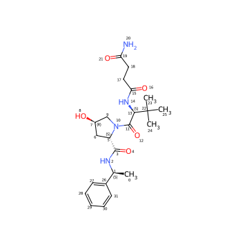 C[C@H](NC(=O)[C@@H]1C[C@@H](O)CN1C(=O)[C@@H](NC(=O)CCC(N)=O)C(C)(C)C)c1ccccc1